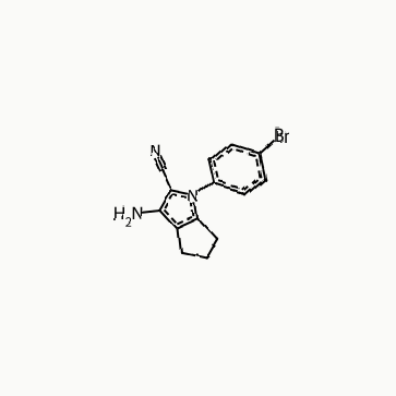 N#Cc1c(N)c2c(n1-c1ccc(Br)cc1)CCC2